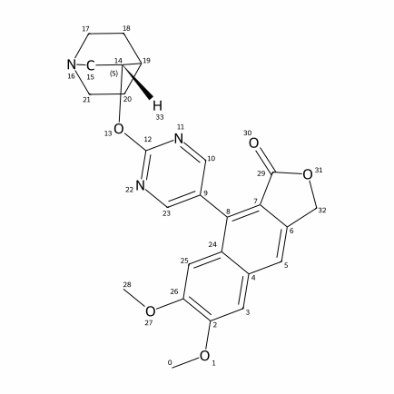 COc1cc2cc3c(c(-c4cnc(O[C@@H]5CN6CCC5CC6)nc4)c2cc1OC)C(=O)OC3